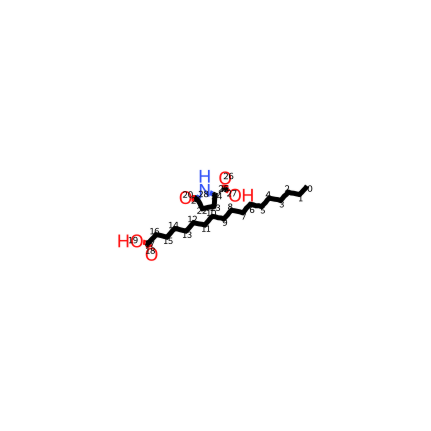 CCCCCCCCCCCCCCCCCC(=O)O.O=C1CC[C@@H](C(=O)O)N1